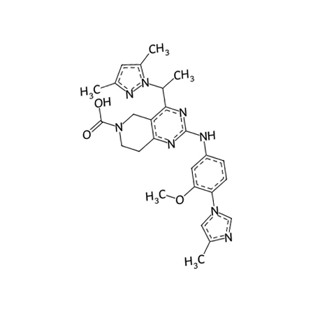 COc1cc(Nc2nc3c(c(C(C)n4nc(C)cc4C)n2)CN(C(=O)O)CC3)ccc1-n1cnc(C)c1